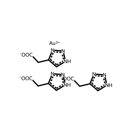 O=C([O-])Cc1c[nH]nn1.O=C([O-])Cc1c[nH]nn1.O=C([O-])Cc1c[nH]nn1.[Au+3]